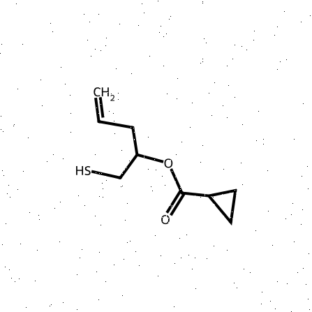 C=CCC(CS)OC(=O)C1CC1